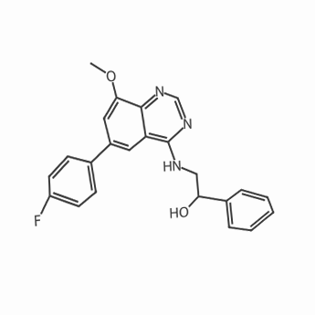 COc1cc(-c2ccc(F)cc2)cc2c(NCC(O)c3ccccc3)ncnc12